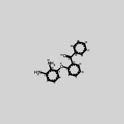 Nc1cccc(Oc2ccccc2C(=O)c2ccccc2)c1N